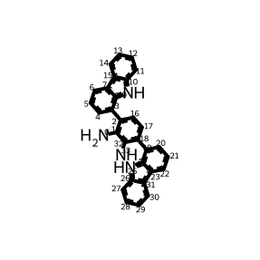 Nc1c(-c2cccc3c2[nH]c2ccccc23)ccc(-c2cccc3c2[nH]c2ccccc23)c1N